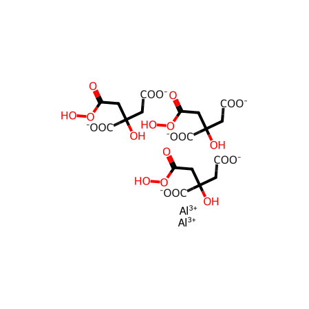 O=C([O-])CC(O)(CC(=O)OO)C(=O)[O-].O=C([O-])CC(O)(CC(=O)OO)C(=O)[O-].O=C([O-])CC(O)(CC(=O)OO)C(=O)[O-].[Al+3].[Al+3]